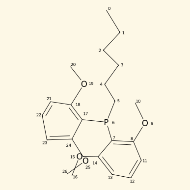 CCCCCCP(c1c(OC)cccc1OC)c1c(OC)cccc1OC